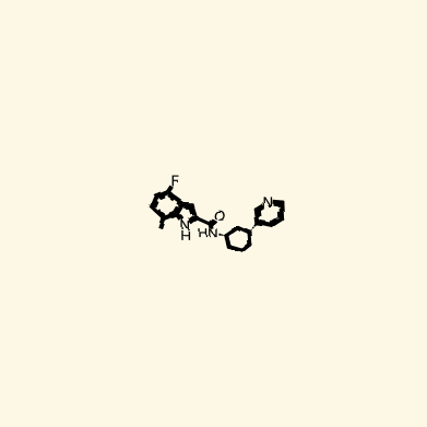 Cc1ccc(F)c2cc(C(=O)N[C@H]3CCC[C@@H](c4cccnc4)C3)[nH]c12